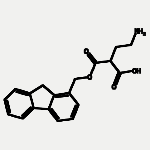 NCCC(C(=O)O)C(=O)OCc1cccc2c1Cc1ccccc1-2